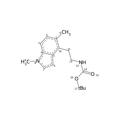 Cc1ccc2c(ccn2C)c1CCNC(=O)OC(C)(C)C